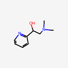 CN(C)CC(O)c1[c]cccn1